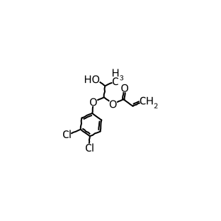 C=CC(=O)OC(Oc1ccc(Cl)c(Cl)c1)C(C)O